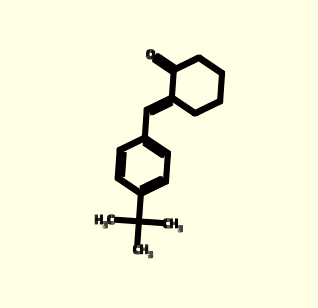 CC(C)(C)c1ccc(C=C2CCCCC2=O)cc1